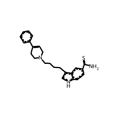 NC(=S)c1ccc2[nH]cc(CCCCN3CC=C(c4ccccc4)CC3)c2c1